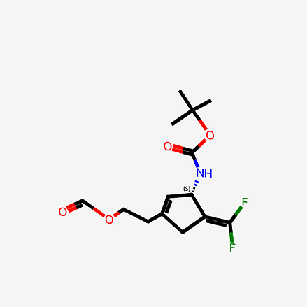 CC(C)(C)OC(=O)N[C@H]1C=C(CCOC=O)CC1=C(F)F